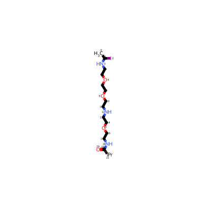 CC(I)NCCOCCOCCNCCOCCNC(=O)C(C)C